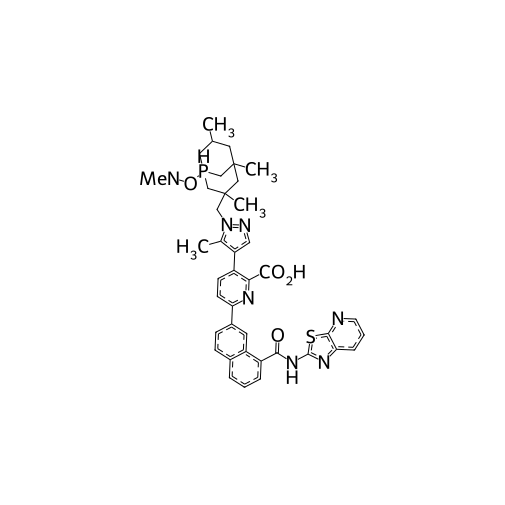 CNO[PH]12CC(C)CC(C)(CC(C)(Cn3ncc(-c4ccc(-c5ccc6cccc(C(=O)Nc7nc8cccnc8s7)c6c5)nc4C(=O)O)c3C)C1)C2